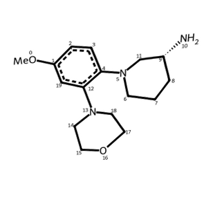 COc1[c]cc(N2CCC[C@@H](N)C2)c(N2CCOCC2)c1